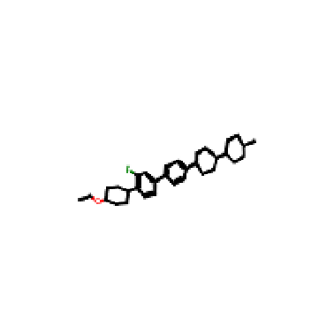 CCOC1CCC(c2ccc(-c3ccc(C4CCC(C5CCC(C)CC5)CC4)cc3)cc2F)CC1